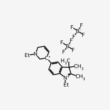 CCN1CC=C[C+](c2ccc3c(c2)C(C)(C)C(C)=[N+]3CC)C1.F[B-](F)(F)F.F[B-](F)(F)F